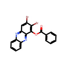 O=C(Oc1c(Br)c(Br)cc2nc3ccccc3nc12)c1ccccc1